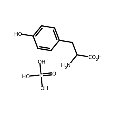 NC(Cc1ccc(O)cc1)C(=O)O.O=P(O)(O)O